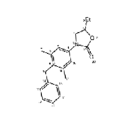 CCC1CN(c2cc(C)c(Cc3ccccc3)c(C)c2)C(=O)O1